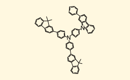 CC1(C)c2ccccc2-c2ccc(-c3ccc(N(c4ccc(-c5ccc6c(c5)C(C)(C)c5ccccc5-6)cc4)c4ccc(-n5c6ccccc6c6ccc(-c7ccccc7)cc65)cc4)cc3)cc21